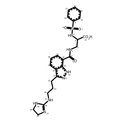 O=C(NCC(NS(=O)(=O)c1ccccc1)C(=O)O)c1cccc2c(CCCNC3=NCCN3)n[nH]c12